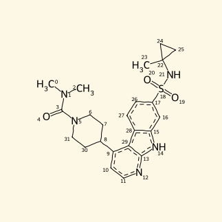 CN(C)C(=O)N1CCC(c2ccnc3[nH]c4cc(S(=O)(=O)NC5(C)CC5)ccc4c23)CC1